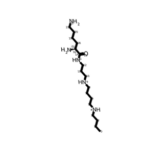 CCCCNCCCCNCCCNC(=O)[C@@H](N)CCCCN